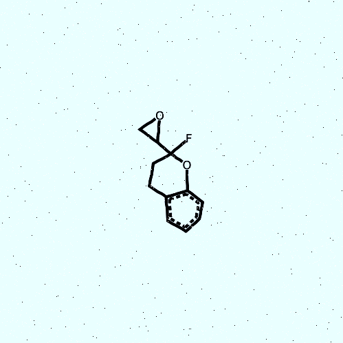 FC1(C2CO2)CCc2ccccc2O1